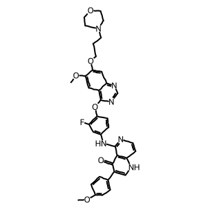 COc1ccc(-c2c[nH]c3ccnc(Nc4ccc(Oc5ncnc6cc(OCCCN7CCOCC7)c(OC)cc56)c(F)c4)c3c2=O)cc1